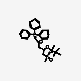 CC(C)(C)[Si](C)(C)O[C@H](CC(=O)C=P(c1ccccc1)(c1ccccc1)c1ccccc1)CP(C)(C)=O